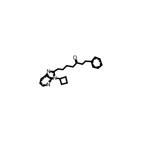 O=C(CCCCc1nc2cccnc2n1C1CCC1)CCc1ccccc1